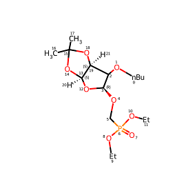 CCCCOC1[C@@H](OCP(=O)(OCC)OCC)O[C@H]2OC(C)(C)O[C@@H]12